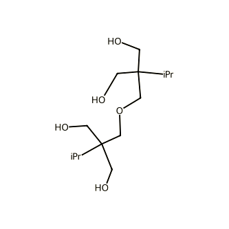 CC(C)C(CO)(CO)COCC(CO)(CO)C(C)C